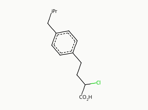 CC(C)Cc1ccc(CCC(Cl)C(=O)O)cc1